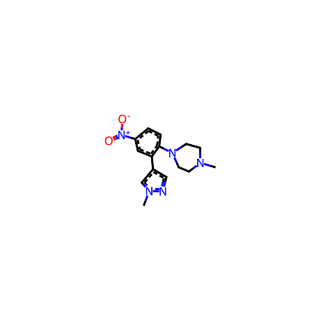 CN1CCN(c2ccc([N+](=O)[O-])cc2-c2cnn(C)c2)CC1